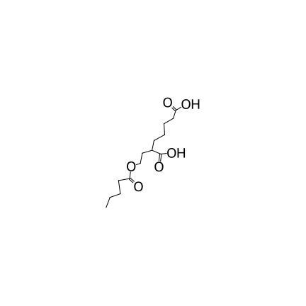 CCCCC(=O)OCCC(CCCCC(=O)O)C(=O)O